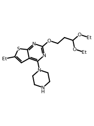 CCOC(CCOc1nc(N2CCNCC2)c2cc(CC)sc2n1)OCC